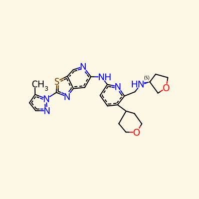 Cc1ccnn1-c1nc2cc(Nc3ccc(C4CCOCC4)c(CN[C@H]4CCOC4)n3)ncc2s1